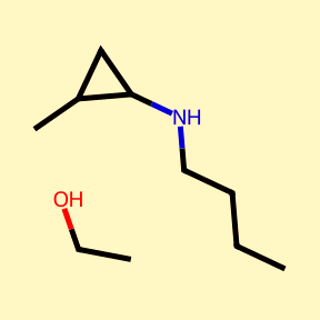 CCCCNC1CC1C.CCO